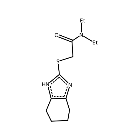 CCN(CC)C(=O)CSc1nc2c([nH]1)CCCC2